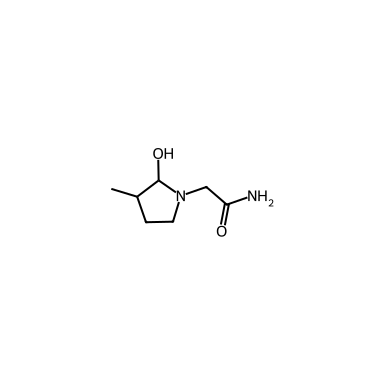 CC1CCN(CC(N)=O)C1O